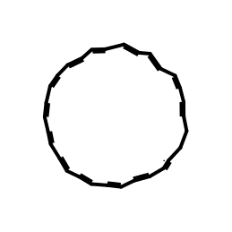 [C]1=C/C=C/C=C\C=C\C=C\C=C\C=C\C=C/C=C/C=C/C=C/C=C/C=C\C=C\CC/1